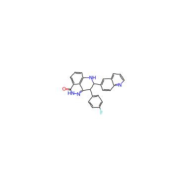 O=c1[nH]nc2c3c(cccc13)NC(c1ccc3ncccc3c1)C2c1ccc(F)cc1